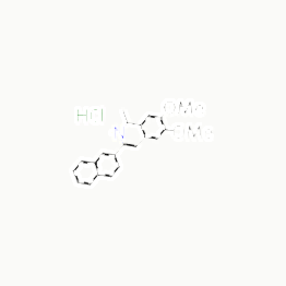 COc1cc2c(cc1OC)C(C)[N]C(c1ccc3ccccc3c1)=C2.Cl